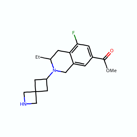 CCC1Cc2c(F)cc(C(=O)OC)cc2CN1C1CC2(CNC2)C1